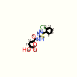 O=C(Nc1nnc(-c2ccccc2Cl)s1)c1ccc(O)c(=O)o1